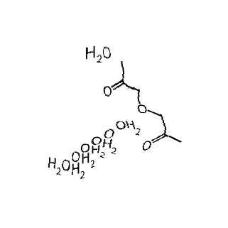 CC(=O)COCC(C)=O.O.O.O.O.O.O.O